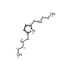 OCC[Se]Cc1ccc(C[Se]CCO)[te]1